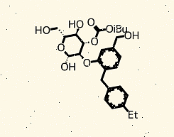 CCc1ccc(Cc2ccc(CO)cc2O[C@@H]2[C@@H](OC(=O)OCC(C)C)[C@H](O)[C@@H](CO)O[C@H]2O)cc1